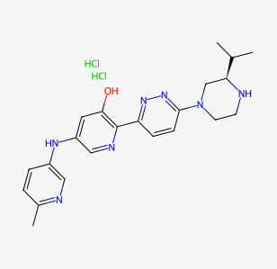 Cc1ccc(Nc2cnc(-c3ccc(N4CCN[C@H](C(C)C)C4)nn3)c(O)c2)cn1.Cl.Cl